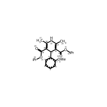 COc1ccccc1C1C(C(=O)OC(C)C)=C(C)NC(C)=C1C(=O)OC(C)C